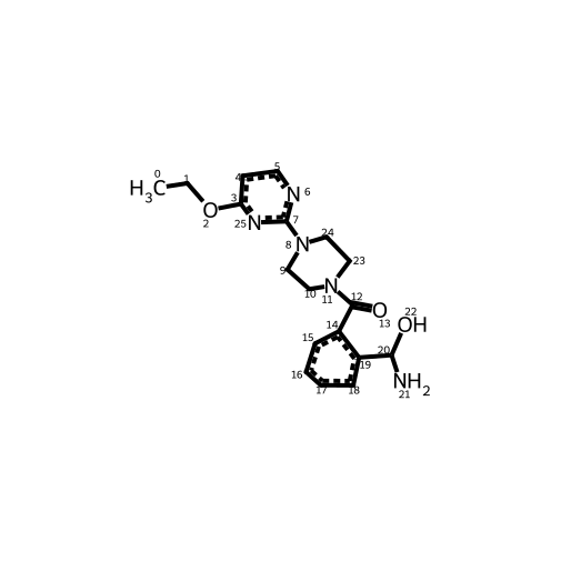 CCOc1ccnc(N2CCN(C(=O)c3ccccc3C(N)O)CC2)n1